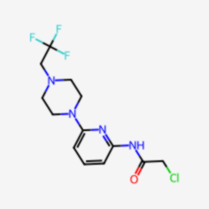 O=C(CCl)Nc1cccc(N2CCN(CC(F)(F)F)CC2)n1